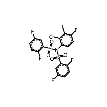 O=S(=O)(c1cc(F)ccc1F)N(c1ccc(F)c(I)c1Cl)S(=O)(=O)c1cc(F)ccc1F